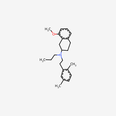 CCCN(CCc1cc(C)ccc1C)C1CCc2cccc(OC)c2C1